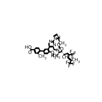 C=C(/C=C(\C=C(/C)C(F)(F)F)C(F)(F)F)[C@H]1OC(=O)N(Cc2nc(-n3ccnc3C)ncc2-c2cc(-c3ccc(C(=O)O)cc3C)ccc2OC)[C@H]1C